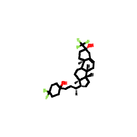 C[C@H](CCC1(O)CCC(F)(F)CC1)[C@H]1CC[C@H]2[C@@H]3CC=C4C[C@](O)(C(F)(F)F)CC[C@]4(C)C3CC[C@]12C